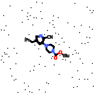 CC(C)Cc1cnc(C#N)c(N2CCN(C(=O)OC(C)(C)C)CC2)c1